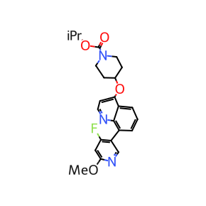 COc1cc(F)c(-c2cccc3c(OC4CCN(C(=O)OC(C)C)CC4)ccnc23)cn1